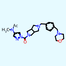 CC(=O)N(C)c1cnn(C(=O)N2CC3CN(Cc4ccc(CN5CCOCC5)cc4)CC3C2)c1